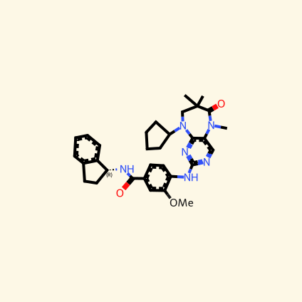 COc1cc(C(=O)N[C@@H]2CCc3ccccc32)ccc1Nc1ncc2c(n1)N(C1CCCC1)CC(C)(C)C(=O)N2C